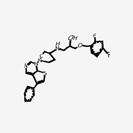 OC(CNC1CCN(N2C=NC=C3C(c4ccccc4)=CSC32)CC1)COc1ccc(F)cc1F